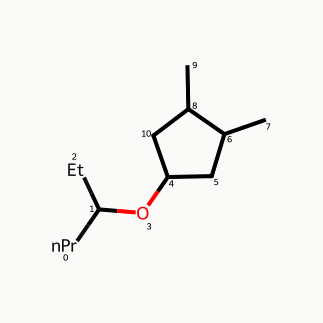 CCCC(CC)OC1CC(C)C(C)C1